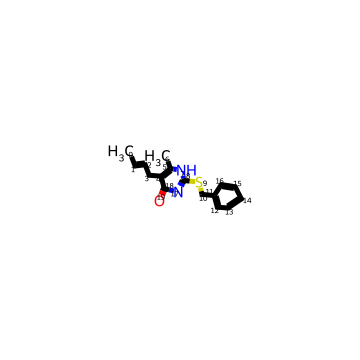 CC=CCc1c(C)[nH]c(SCc2ccccc2)nc1=O